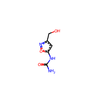 NC(=O)Nc1cc(CO)no1